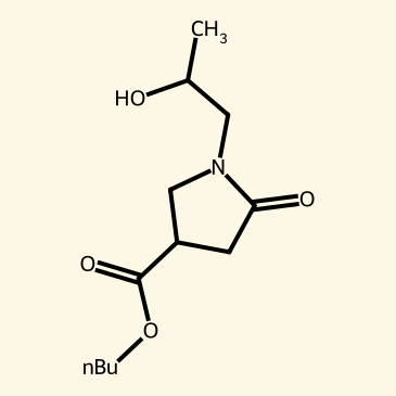 CCCCOC(=O)C1CC(=O)N(CC(C)O)C1